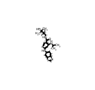 CC(C)Nc1cc(Nc2ccc3ncsc3c2)ncc1C(=O)NCC(F)(F)C(C)(C)O